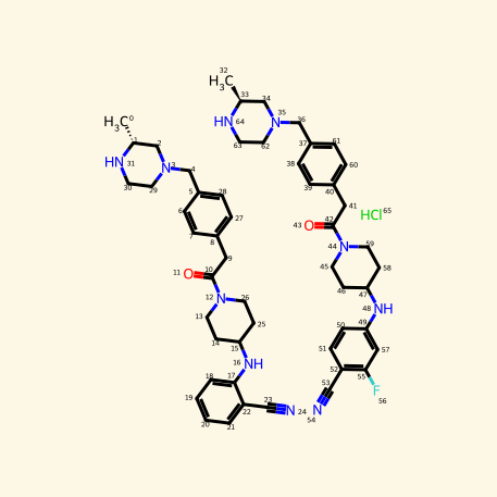 C[C@@H]1CN(Cc2ccc(CC(=O)N3CCC(Nc4ccccc4C#N)CC3)cc2)CCN1.C[C@H]1CN(Cc2ccc(CC(=O)N3CCC(Nc4ccc(C#N)c(F)c4)CC3)cc2)CCN1.Cl